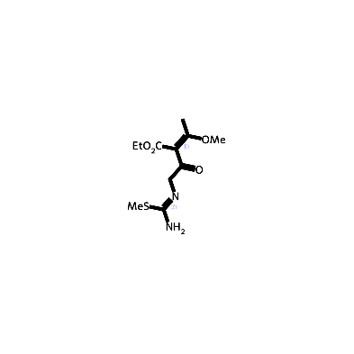 CCOC(=O)/C(C(=O)C/N=C(/N)SC)=C(\C)OC